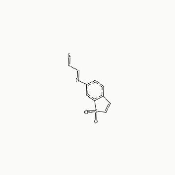 O=S1(=O)C=Cc2ccc(N=CC=S)cc21